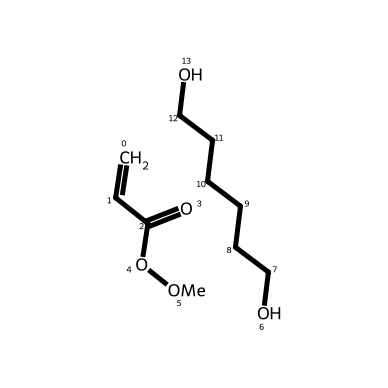 C=CC(=O)OOC.OCCCCCCO